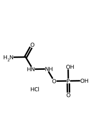 Cl.NC(=O)NNOP(=O)(O)O